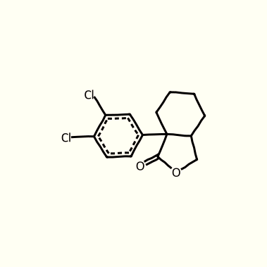 O=C1OCC2CCCCC12c1ccc(Cl)c(Cl)c1